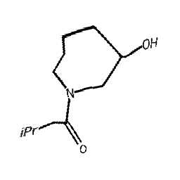 CC(C)C(=O)N1CCCC(O)C1